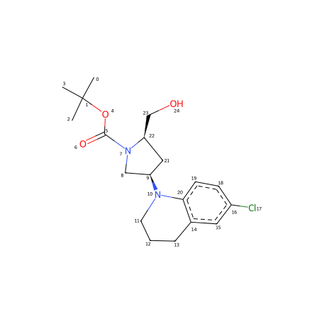 CC(C)(C)OC(=O)N1C[C@H](N2CCCc3cc(Cl)ccc32)C[C@@H]1CO